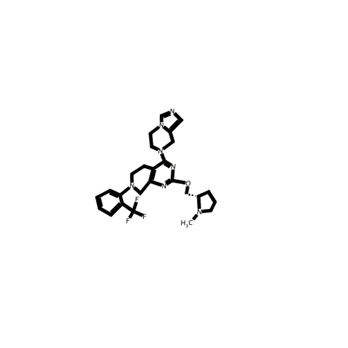 CN1CCC[C@H]1COc1nc2c(c(N3CCn4cncc4C3)n1)CCN(c1ccccc1C(F)(F)F)C2